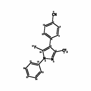 N#Cc1ccc(-c2c(C(F)(F)F)nn(-c3ccccc3)c2F)cc1